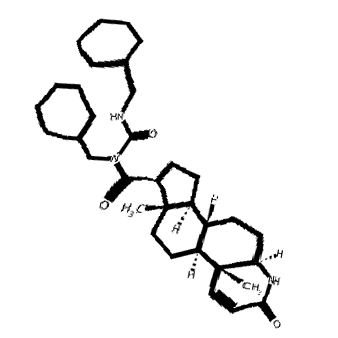 C[C@]12C=CC(=O)N[C@@H]1CC[C@@H]1[C@@H]2CC[C@]2(C)[C@@H](C(=O)N(CC3CCCCC3)C(=O)NCC3CCCCC3)CC[C@@H]12